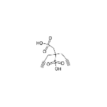 C#CCC(CC#C)(CS(=O)(=O)O)S(=O)(=O)O